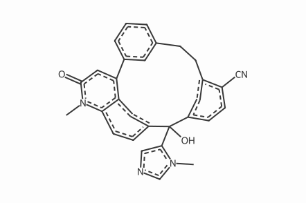 Cn1cncc1C1(O)c2ccc(C#N)c(c2)CCc2cccc(c2)-c2cc(=O)n(C)c3ccc1cc23